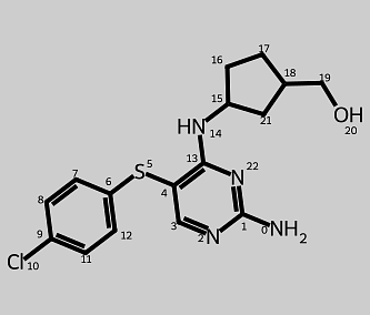 Nc1ncc(Sc2ccc(Cl)cc2)c(NC2CCC(CO)C2)n1